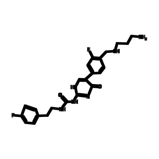 NCCCNCc1ccc(-c2c[nH]c(NC(=O)NCCc3ccc(F)cc3)nc2=O)cc1F